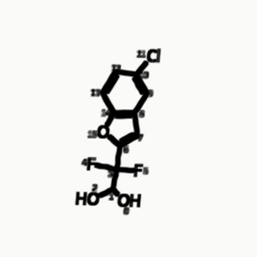 OC(O)C(F)(F)c1cc2cc(Cl)ccc2o1